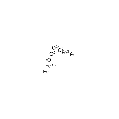 [Fe+3].[Fe+3].[Fe].[Fe].[O-2].[O-2].[O-2].[O]